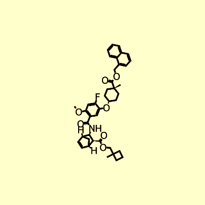 COc1cc(F)c(O[C@H]2CC[C@@](C)(C(=O)OCc3cccc4ccccc34)CC2)cc1C(=O)N[C@H]1[C@@H](C(=O)OCC2(C)CCC2)[C@@H]2C=C[C@H]1C2